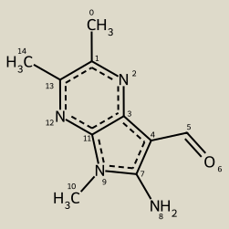 Cc1nc2c(C=O)c(N)n(C)c2nc1C